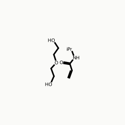 C=CC(=O)NC(C)C.OCCOCCO